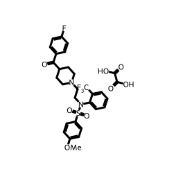 COc1ccc(S(=O)(=O)N(CCN2CCC(C(=O)c3ccc(F)cc3)CC2)c2ccccc2C(F)(F)F)cc1.O=C(O)C(=O)O